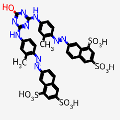 Cc1cc(Nc2nc(O)nc(Nc3ccc(/N=N/c4ccc5cc(S(=O)(=O)O)cc(S(=O)(=O)O)c5c4)c(C)c3)n2)ccc1/N=N/c1ccc2cc(S(=O)(=O)O)cc(S(=O)(=O)O)c2c1